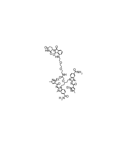 CCn1nc(C)cc1C(=O)N=c1n(C)c2cc(C(N)=O)ccc2n1CCC(CCn1c(=NC(=O)c2cc(C)nn2CC)n(C)c2cc(C(N)=O)ccc21)OCC(=O)NCCOCCOCCNc1cccc2c1C(=O)N(C1CCC(=O)NC1=O)C2=O